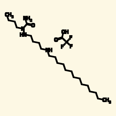 CCCCCCCCCCCCCCNCCCCNN(CCCC)C(N)=O.O=C(O)C(F)(F)F